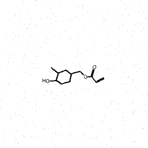 C=CC(=O)OCC1CCC(O)C(C)C1